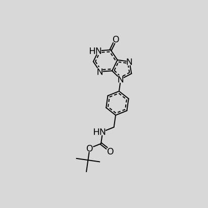 CC(C)(C)OC(=O)NCc1ccc(-n2cnc3c(=O)[nH]cnc32)cc1